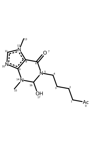 CC(=O)CCCCN1C(=O)c2c(ncn2C)N(C)C1O